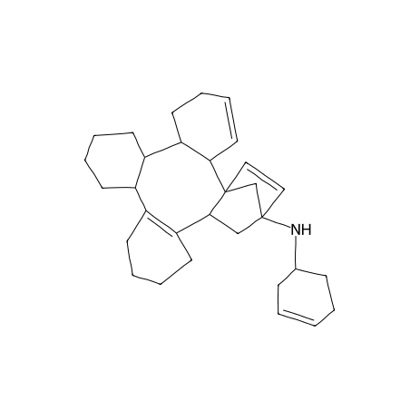 C1=CCC(NC23C=CC4(C2)C(C3)C2=C(CCCC2)C2CCCCC2C2CCC=CC24)CC1